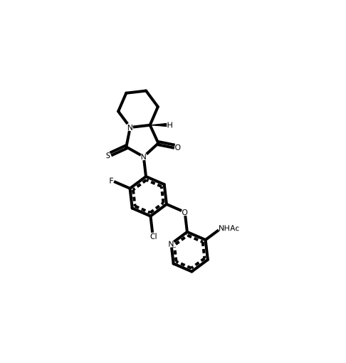 CC(=O)Nc1cccnc1Oc1cc(N2C(=O)[C@H]3CCCCN3C2=S)c(F)cc1Cl